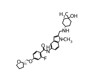 Cn1c(CN[C@H]2CC[C@@](C)(O)CC2)cc2cc(NC(=O)c3ccc(OC[C@@H]4CCCO4)cc3F)ccc21